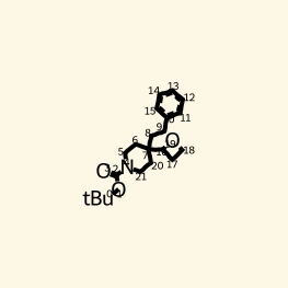 CC(C)(C)OC(=O)N1CCC(CCc2ccccc2)(C2CCO2)CC1